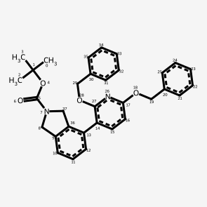 CC(C)(C)OC(=O)N1Cc2cccc(-c3ccc(OCc4ccccc4)nc3OCc3ccccc3)c2C1